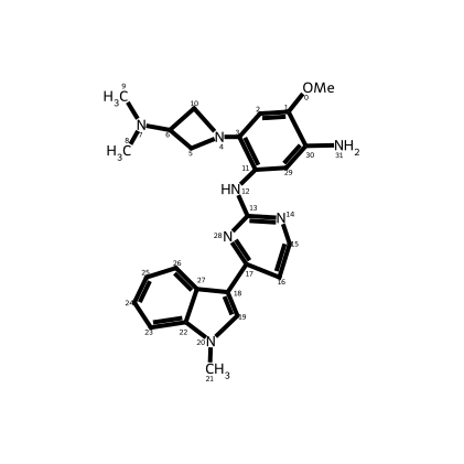 COc1cc(N2CC(N(C)C)C2)c(Nc2nccc(-c3cn(C)c4ccccc34)n2)cc1N